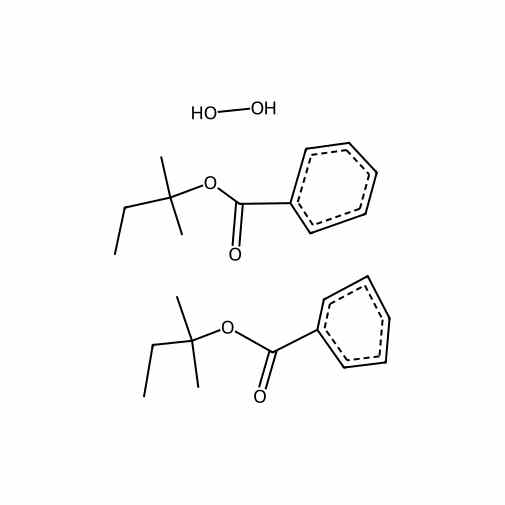 CCC(C)(C)OC(=O)c1ccccc1.CCC(C)(C)OC(=O)c1ccccc1.OO